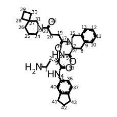 NCC[C@H](NC(=O)[C@@H]1Cc2ccccc2CN1C(=O)CCC(=O)N1CCCC2(CCC2)C1)C(=O)Nc1ccc2c(c1)CCC2